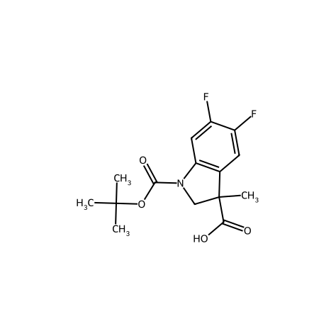 CC(C)(C)OC(=O)N1CC(C)(C(=O)O)c2cc(F)c(F)cc21